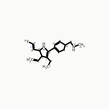 C=CC1C(CC)=C(C2=CCC(CNC)C=C2)NC1/C=C/F